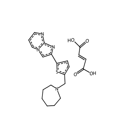 O=C(O)C=CC(=O)O.c1cnc2nc(-c3ccc(CN4CCCCCC4)s3)cn2c1